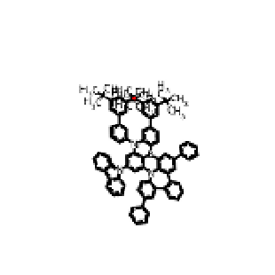 CC(C)(C)c1cc(-c2cccc(N3c4cc(-c5cc(C(C)(C)C)cc(C(C)(C)C)c5)ccc4B4c5cc(-c6ccccc6)cc6c5N(c5ccc(-c7ccccc7)cc5-c5ccccc5-6)c5cc(-n6c7ccccc7c7ccccc76)cc3c54)c2)cc(C(C)(C)C)c1